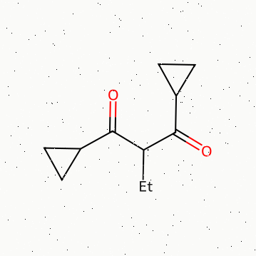 [CH2]C[C](C(=O)C1CC1)C(=O)C1CC1